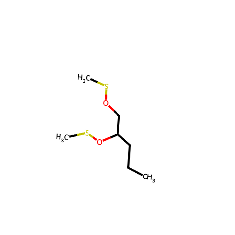 CCCC(COSC)OSC